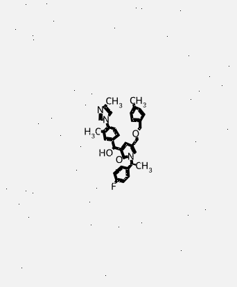 Cc1ccc(COCc2cc(C(O)c3ccc(-n4cnc(C)c4)c(C)c3)c(=O)n([C@@H](C)c3ccc(F)cc3)c2)cc1